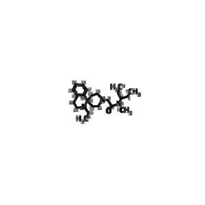 CCC(CC)N(C)C(=O)CN1CCC2(CC1)c1ccccc1CCN2CC